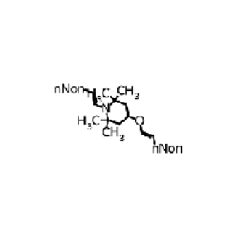 CCCCCCCCCC=COC1CC(C)(C)N(C=CCCCCCCCCC)C(C)(C)C1